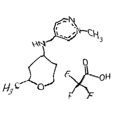 CC1CC(Nc2cnn(C)c2)CCO1.O=C(O)C(F)(F)F